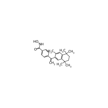 C=C(c1ccc(C(=O)NO)cc1)c1cc2c(cc1C)C(C)(C)CCC2(C)C